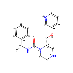 C[C@@H](NC(=O)N1CCNC[C@H]1COc1cccnc1)c1ccccc1